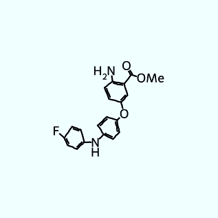 COC(=O)c1cc(Oc2ccc(Nc3ccc(F)cc3)cc2)ccc1N